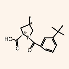 C[C@@H]1C[C@H](C(=O)O)N(C(=O)c2cccc(C(C)(C)C)c2)C1